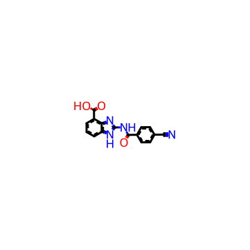 N#Cc1ccc(C(=O)Nc2nc3c(C(=O)O)cccc3[nH]2)cc1